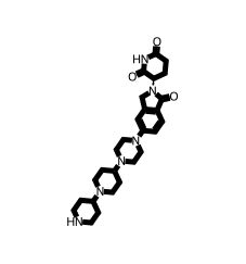 O=C1CC[C@H](N2Cc3cc(N4CCN(C5CCN(C6CCNCC6)CC5)CC4)ccc3C2=O)C(=O)N1